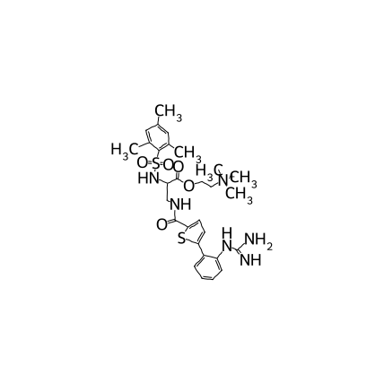 Cc1cc(C)c(S(=O)(=O)NC(CNC(=O)c2ccc(-c3ccccc3NC(=N)N)s2)C(=O)OCC[N+](C)(C)C)c(C)c1